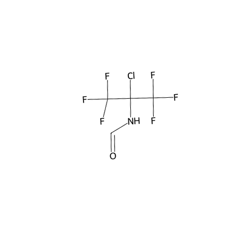 O=CNC(Cl)(C(F)(F)F)C(F)(F)F